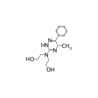 CC1N=C(N(CCO)CCO)NN=C1c1ccccc1